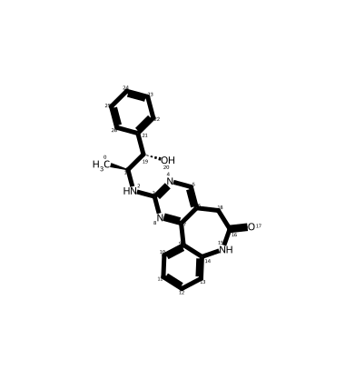 C[C@H](Nc1ncc2c(n1)-c1ccccc1NC(=O)C2)[C@@H](O)c1ccccc1